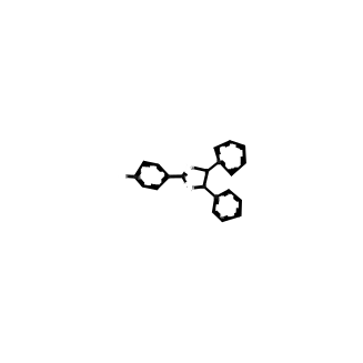 Clc1ccc(C2=NC(c3ccccc3)C(c3ccccc3)N2)cc1